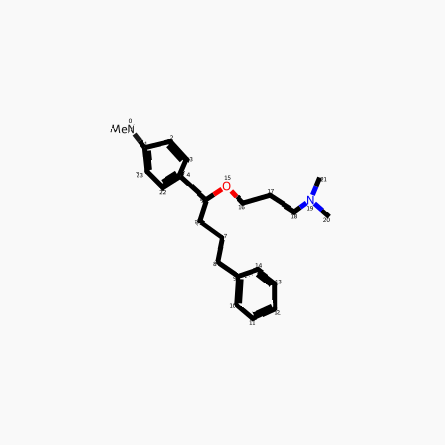 CNc1ccc(C(CCCc2ccccc2)OCCCN(C)C)cc1